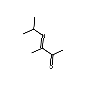 CC(=O)C(C)=NC(C)C